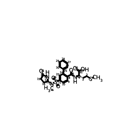 CSCC[C@H](NC(=O)c1ccc(S(=O)(=O)N(C)[C@H]2CCC(=O)N2)cc1-c1ccccc1)C(=O)O